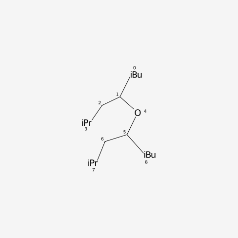 CCC(C)C(CC(C)C)OC(CC(C)C)C(C)CC